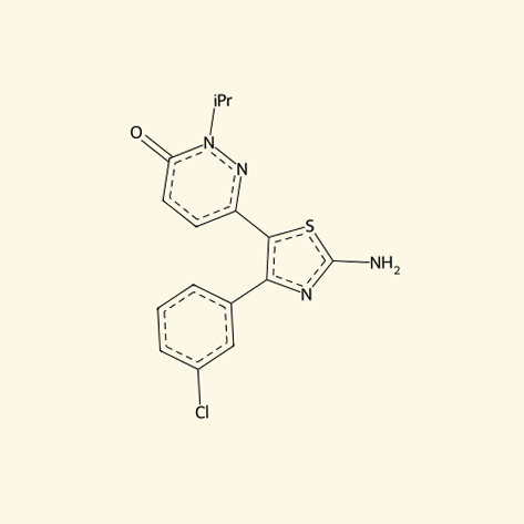 CC(C)n1nc(-c2sc(N)nc2-c2cccc(Cl)c2)ccc1=O